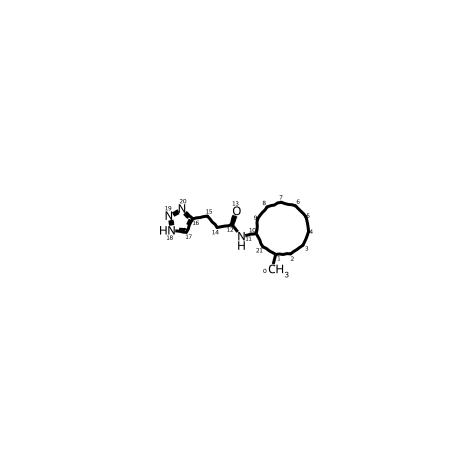 CC1CCCCCCCCC(NC(=O)CCc2c[nH]nn2)C1